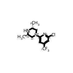 C[C@@H]1CN(c2cc(C(F)(F)F)cc(Cl)n2)C[C@H](C)N1